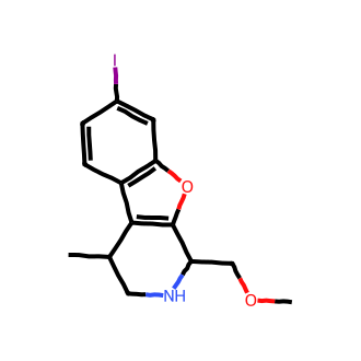 COCC1NCC(C)c2c1oc1cc(I)ccc21